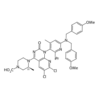 COc1ccc(CN(Cc2ccc(OC)cc2)c2cc(C)c(-n3c(=O)nc(N4CCN(C(=O)O)C[C@@H]4C)c4cc(Cl)c(Cl)nc43)c(C(C)C)n2)cc1